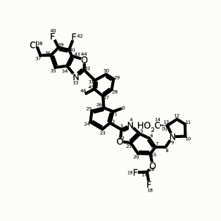 Cc1c(-c2nc3cc(CN4CCC[C@H]4C(=O)O)c(OC(F)F)cc3o2)cccc1-c1cccc(-c2nc3cc(CCl)c(F)c(F)c3o2)c1C